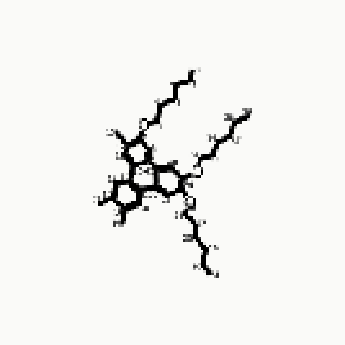 CCCCCCOc1cc2c(cc1C)c1cc(C)c(C)cc1c1cc(OCCCCCC)c(OCCCCCC)cc21